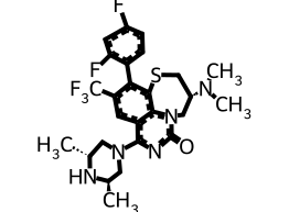 C[C@@H]1CN(c2nc(=O)n3c4c(c(-c5ccc(F)cc5F)c(C(F)(F)F)cc24)SC[C@H](N(C)C)C3)C[C@@H](C)N1